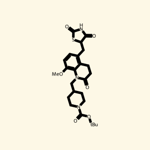 COc1ccc(CC2SC(=O)NC2=O)c2c1N(CC1CCN(C(=O)OC(C)(C)C)CC1)C(=O)CC2